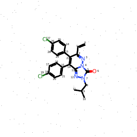 C=Cc1nn2c(=O)n(CC(C)C)nc2c(-c2ccc(Cl)cc2)c1-c1ccc(Cl)cc1